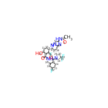 CC(=O)Nc1cn2nc(-c3ccc(O)c(C(=O)NCc4cc(F)ccc4C(=O)N4CCC(F)(F)C4)c3F)ccc2n1